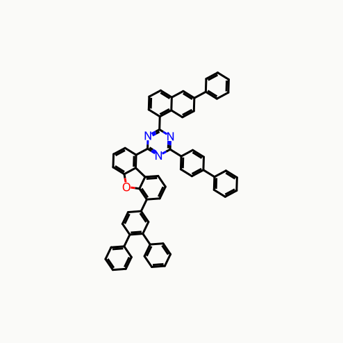 c1ccc(-c2ccc(-c3nc(-c4cccc5cc(-c6ccccc6)ccc45)nc(-c4cccc5oc6c(-c7ccc(-c8ccccc8)c(-c8ccccc8)c7)cccc6c45)n3)cc2)cc1